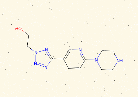 OCCn1nnc(-c2ccc(N3CCNCC3)nc2)n1